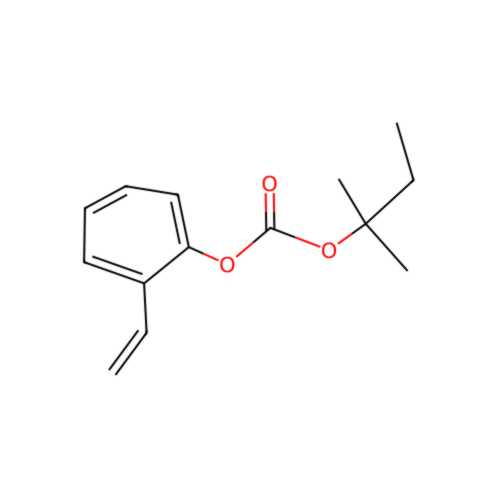 C=Cc1ccccc1OC(=O)OC(C)(C)CC